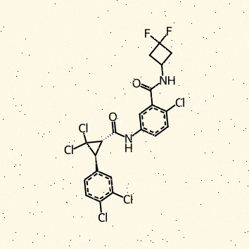 O=C(NC1CC(F)(F)C1)c1cc(NC(=O)[C@@H]2[C@@H](c3ccc(Cl)c(Cl)c3)C2(Cl)Cl)ccc1Cl